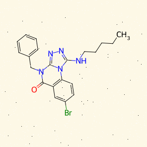 CCCCCNc1nnc2n(Cc3ccccc3)c(=O)c3cc(Br)ccc3n12